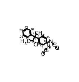 CC(C)C(C)(C1=CCC(N=C=O)(N=C=O)C=C1)c1ccccc1